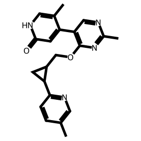 Cc1ccc(C2CC2COc2nc(C)ncc2-c2cc(=O)[nH]cc2C)nc1